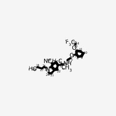 CC(C)(NCCOc1ccccc1OCC(F)(F)F)c1cc(C#N)c2c(c1)CCN2CCCO